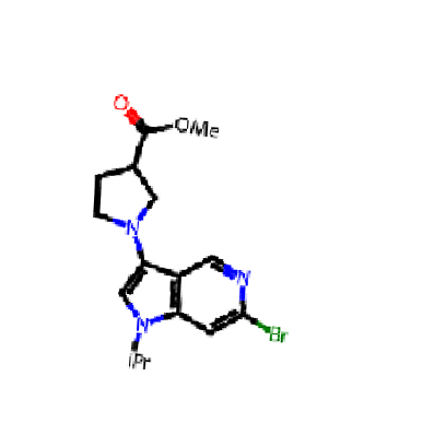 COC(=O)C1CCN(c2cn(C(C)C)c3cc(Br)ncc23)C1